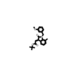 COc1cccc(CN2C(=O)/C(=C/C(=O)OC(C)(C)C)c3cccc(C)c32)c1